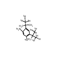 [2H]C([2H])([2H])C(C)(C)c1cc(C(C)(C([2H])([2H])[2H])C([2H])([2H])[2H])c(O)cc1N